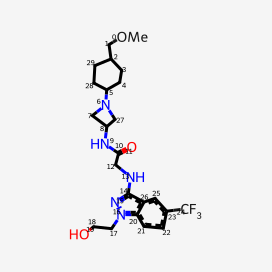 COCC1CCC(N2CC(NC(=O)CNc3nn(CCO)c4ccc(C(F)(F)F)cc34)C2)CC1